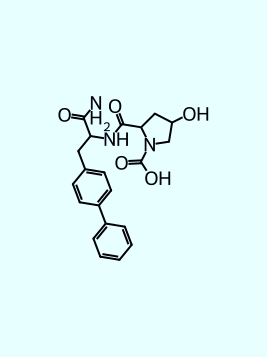 NC(=O)C(Cc1ccc(-c2ccccc2)cc1)NC(=O)C1CC(O)CN1C(=O)O